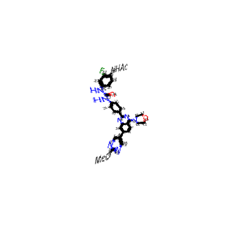 COc1ncc(-c2ccc3c(N4CCOCC4)nc(-c4ccc(NC(=O)Nc5ccc(NC(C)=O)c(F)c5)cc4)nc3c2)cn1